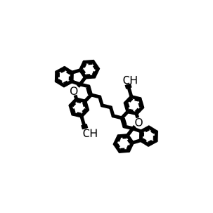 C#Cc1ccc2c(c1)C(CCCCC1=CC3(Oc4ccc(C#C)cc41)c1ccccc1-c1ccccc13)=CC1(O2)c2ccccc2-c2ccccc21